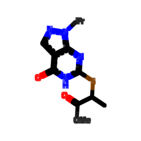 COC(=O)C(C)Sc1nc2c(cnn2C(C)C)c(=O)[nH]1